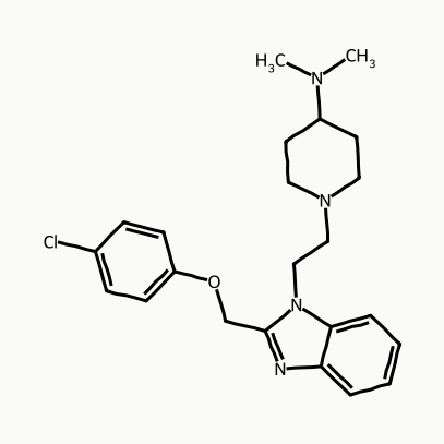 CN(C)C1CCN(CCn2c(COc3ccc(Cl)cc3)nc3ccccc32)CC1